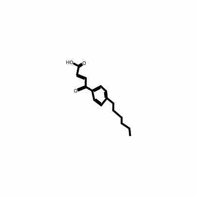 CCCCCCc1ccc(C(=O)C=CC(=O)O)cc1